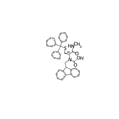 CNC(=O)[C@H](CSC(c1ccccc1)(c1ccccc1)c1ccccc1)N(CC1c2ccccc2-c2ccccc21)C(=O)O